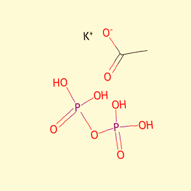 CC(=O)[O-].O=P(O)(O)OP(=O)(O)O.[K+]